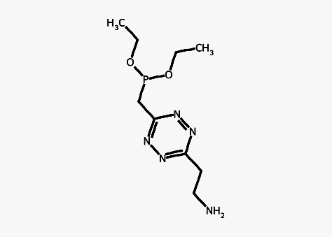 CCOP(Cc1nnc(CCN)nn1)OCC